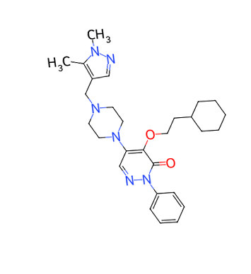 Cc1c(CN2CCN(c3cnn(-c4ccccc4)c(=O)c3OCCC3CCCCC3)CC2)cnn1C